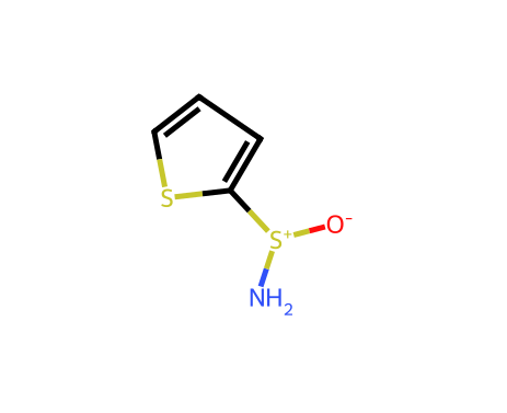 N[S+]([O-])c1cccs1